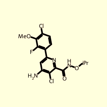 COc1c(Cl)ccc(-c2cc(N)c(Cl)c(C(=O)NOC(C)C)n2)c1F